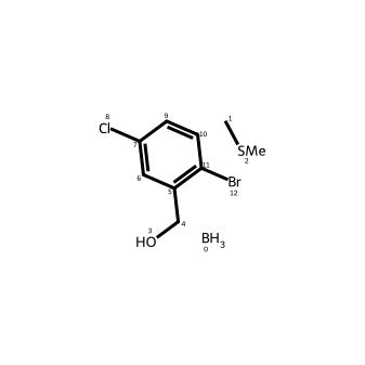 B.CSC.OCc1cc(Cl)ccc1Br